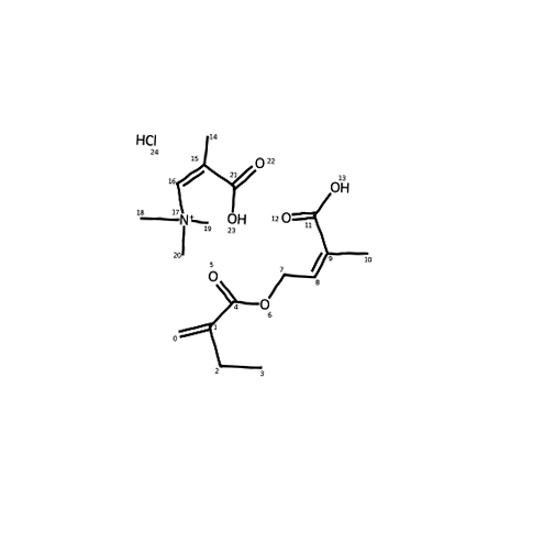 C=C(CC)C(=O)OCC=C(C)C(=O)O.CC(=C[N+](C)(C)C)C(=O)O.Cl